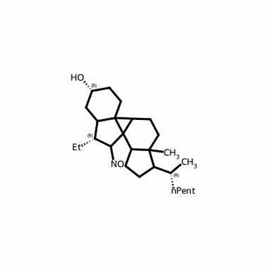 CCCCC[C@@H](C)C1CCC2C1(C)CCC1C34CC[C@@H](O)CC3[C@@H](CC)C(N=O)C214